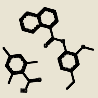 CCc1ccc(OC(=O)c2cccc3ccccc23)c(OC)c1.Cc1cc(C)c(C(=O)O)c(C)c1